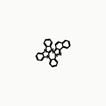 c1ccc(-n2c3ccccc3n3c4ccccc4nc23)c(-n2nc3ccc4ccccc4c3n2)c1